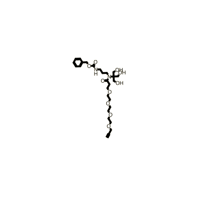 C#CCOCCOCCOCCOCCC(=O)N(CCCNC(=O)OCc1ccccc1)C(CO)(CO)CO